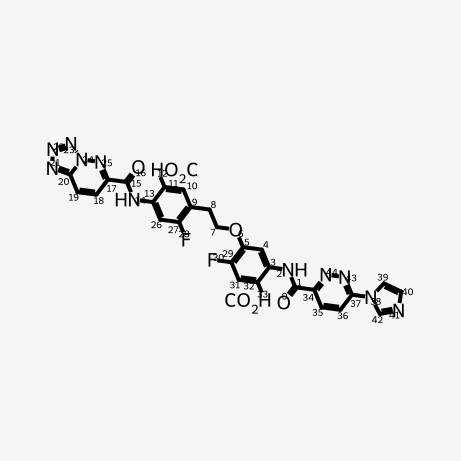 O=C(Nc1cc(OCCc2cc(C(=O)O)c(NC(=O)c3ccc4nnnn4n3)cc2F)c(F)cc1C(=O)O)c1ccc(-n2ccnc2)nn1